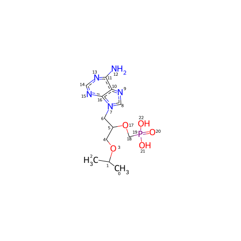 CC(C)OCC(Cn1cnc2c(N)ncnc21)OCP(=O)(O)O